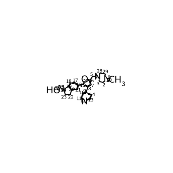 CN1CCN(Cc2cc(-c3ccncc3)c(-c3ccc4c(c3)CCC4=NO)o2)CC1